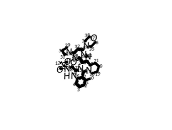 Cc1cccc2nc(C(=O)NS(C)(=O)=O)nc(N3CCCCC3c3cc4nc(N5CCC5)cc(N5CCOCC5)n4n3)c12